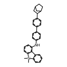 C[Si]1(C)c2ccccc2-c2c(Nc3ccc(-c4ccc(C5CC6CCC5C6)cc4)cc3)cccc21